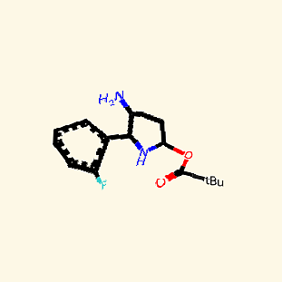 CC(C)(C)C(=O)OC1CC(N)C(c2ccccc2F)N1